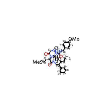 C=C(/C=C\C)C(CN1C[C@H]2N(C(=O)CN(C)N2C(=O)NCc2ccc(OC)cc2)[C@@H](CCSC)C1=O)c1ccccc1